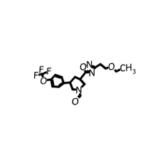 CCOCCc1noc(C2CC(c3ccc(OC(F)(F)F)cc3)CN(C=O)C2)n1